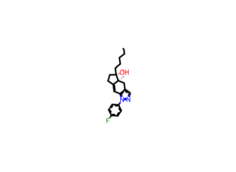 CCCCC[C@]1(O)CCC2=Cc3c(cnn3-c3ccc(F)cc3)C[C@@]21C